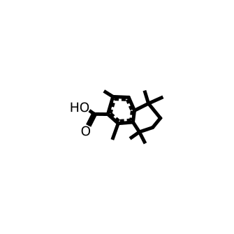 Cc1cc2c(c(C)c1C(=O)O)C(C)(C)CCC2(C)C